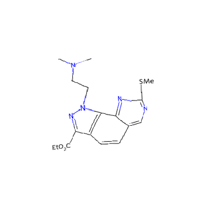 CCOC(=O)c1nn(CCN(C)C)c2c1ccc1cnc(SC)nc12